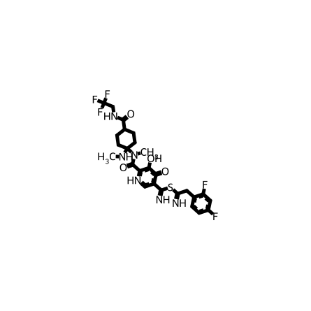 CNC1(N(C)C(=O)c2[nH]cc(C(=N)SC(=N)Cc3ccc(F)cc3F)c(=O)c2O)CCC(C(=O)NCC(F)(F)F)CC1